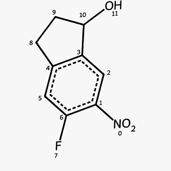 O=[N+]([O-])c1cc2c(cc1F)CCC2O